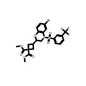 COC(=O)C1(C(=O)OC)CC(C2CN(S(=O)(=O)c3cccc(C(F)(F)F)c3)c3cc(Br)ccc3O2)C1